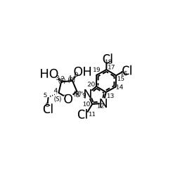 O[C@@H]1[C@H](O)[C@@H](CCl)O[C@H]1n1c(Cl)nc2cc(Cl)c(Cl)cc21